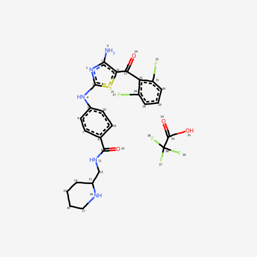 Nc1nc(Nc2ccc(C(=O)NCC3CCCCN3)cc2)sc1C(=O)c1c(F)cccc1F.O=C(O)C(F)(F)F